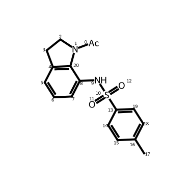 CC(=O)N1CCc2cccc(NS(=O)(=O)c3ccc(C)cc3)c21